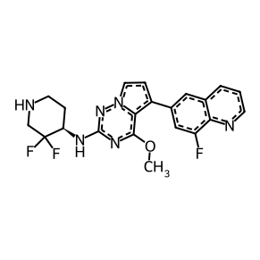 COc1nc(N[C@@H]2CCNCC2(F)F)nn2ccc(-c3cc(F)c4ncccc4c3)c12